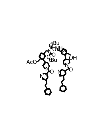 CC(=O)OCc1ccc(CN(C(=O)OC(C)(C)C)C(=O)OC(C)(C)C)cc1C1=CCN(C(=O)c2cncc(CCc3ccccc3)c2)CC1.NCc1ccc(CO)c(C2=CCN(C(=O)c3cncc(CCc4ccccc4)c3)CC2)c1